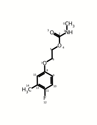 CNC(=O)OCCOc1ccc(F)c(C)c1